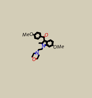 COc1ccc(C(=O)c2c(C)n(CCN3CCOCC3)c3cc(OC)ccc23)cc1